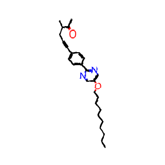 CCCCCCCCCCOc1cnc(-c2ccc(C#CCC(C)C(C)=O)cc2)nc1